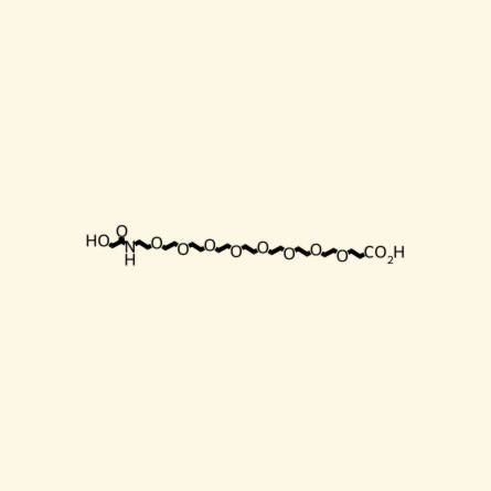 O=C(O)CCOCCOCCOCCOCCOCCOCCOCCOCCNC(=O)CO